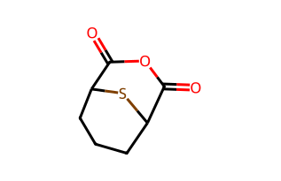 O=C1OC(=O)C2CCCC1S2